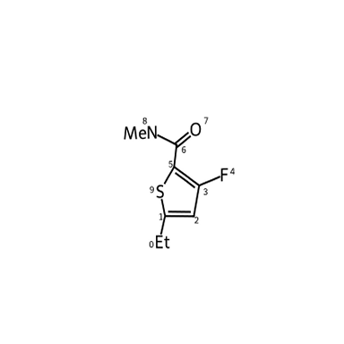 CCc1cc(F)c(C(=O)NC)s1